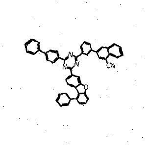 N#Cc1cc(-c2cccc(-c3nc(-c4ccc(-c5ccccc5)cc4)nc(-c4ccc5c(c4)oc4cccc(-c6ccccc6)c45)n3)c2)cc2ccccc12